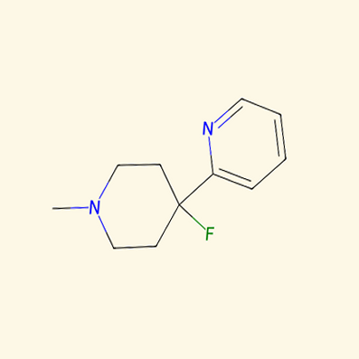 CN1CCC(F)(c2ccccn2)CC1